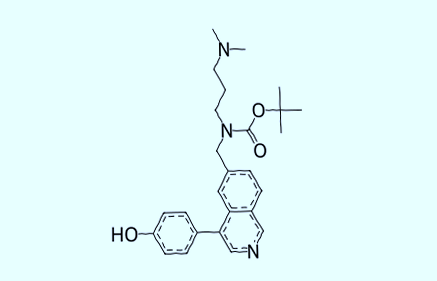 CN(C)CCCN(Cc1ccc2cncc(-c3ccc(O)cc3)c2c1)C(=O)OC(C)(C)C